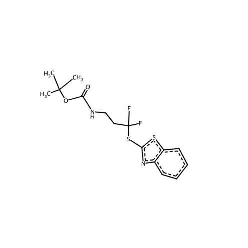 CC(C)(C)OC(=O)NCCC(F)(F)Sc1nc2ccccc2s1